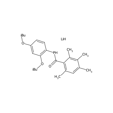 CCC(C)Oc1ccc(PC(=O)c2c(C)cc(C)c(C)c2C)c(OC(C)CC)c1.[LiH]